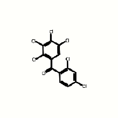 O=C(c1ccc(Cl)cc1Cl)c1cc(Cl)c(Cl)c(Cl)c1Cl